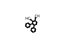 C#Cc1ccc(-c2ccccc2)c(-c2ccccc2)c1C#C